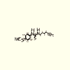 CC(C)CCCCNC(=S)Nc1ccc(SC#N)cc1